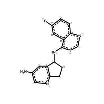 Nc1cnc2c(c1)C(Nc1ncnc3ccc(F)cc13)CC2